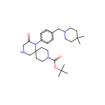 CC1(C)CCN(Cc2ccc(N3C(=O)CNCC34CCN(C(=O)OC(C)(C)C)CC4)cc2)CC1